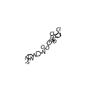 CSc1nccc(N2CCC(N(C)C(=O)O[C@H]3CCN(S(=O)(=O)c4cccc(Cl)c4Cl)C3)CC2)n1